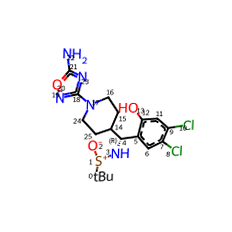 CC(C)(C)[S+]([O-])N[C@@H](c1cc(Cl)c(Cl)cc1O)C1CCN(c2noc(N)n2)CC1